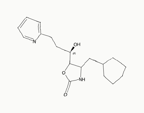 O=C1NC(CC2CCCCC2)C([C@H](O)CCc2ccccn2)O1